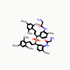 COc1cc(OC)c(C=CC(c2ccc(OC)c(NC(=O)CN)c2)S(=O)(=O)C(C=Cc2c(OC)cc(OC)cc2OC)c2ccc(OC)c(NC(=O)CN)c2)c(OC)c1